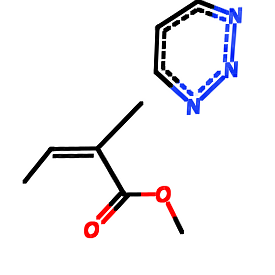 CC=C(C)C(=O)OC.c1cnnnc1